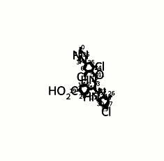 Cc1ncn(-c2cc(Cl)c(C(=O)NCC(c3ccc(C(=O)O)cc3)c3nc4c(C)cc(Cl)cc4[nH]3)c(Cl)c2)n1